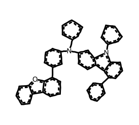 c1ccc(-c2cccc3c2c2ccc(N(c4ccccc4)c4cccc(-c5cccc6c5oc5ccccc56)c4)cc2n3-c2ccccc2)cc1